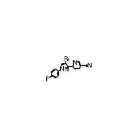 N#Cc1ccc(-c2nn(-c3ccc(F)cc3)cc2Br)nc1